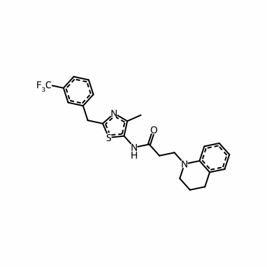 Cc1nc(Cc2cccc(C(F)(F)F)c2)sc1NC(=O)CCN1CCCc2ccccc21